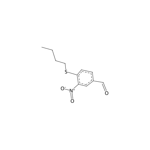 CCCCSc1ccc(C=O)cc1[N+](=O)[O-]